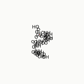 O=C(O)CC[C@H](NC(=O)N[C@@H](CCC(=O)N[C@@H](Cc1ccccc1)C(=O)NCCNC(=O)CNC(=O)[C@H](Cc1ccccc1)NC(=O)[C@H](Cc1ccccc1)NC(=S)Nc1ccc(-c2c3ccc(=O)cc-3oc3cc(O)ccc23)c(C(=O)O)c1)C(=O)O)C(=O)O